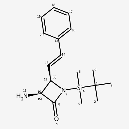 CC(C)(C)[Si](C)(C)N1C(=O)[C@@H](N)[C@H]1C=Cc1ccccc1